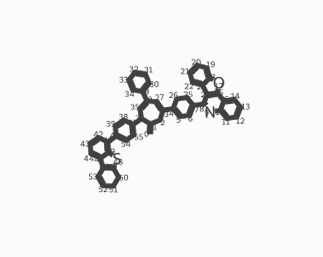 C=C1CC(C2=CC=C(c3nc4ccccc4c4oc5ccccc5c34)CC2)=CC(c2ccccc2)=CC1c1ccc(-c2cccc3c4c(sc23)CCC=C4)cc1